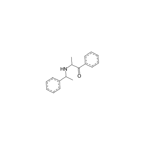 CC(NC(C)c1ccccc1)C(=O)c1ccccc1